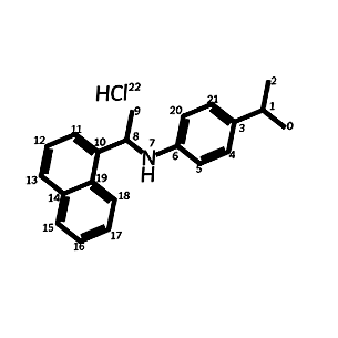 CC(C)c1ccc(NC(C)c2cccc3ccccc23)cc1.Cl